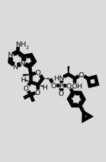 C[C@H](NP(=O)(OC[C@H]1O[C@@](C)(c2ccc3c(N)ncnn23)[C@@H]2OC(C)(C)O[C@@H]21)Oc1ccc(C2CC2)cc1)C(O)OC1CCC1